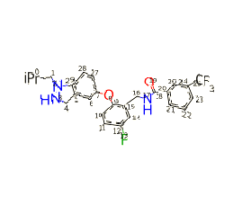 CC(C)CN1NCc2cc(Oc3ccc(F)cc3CNC(=O)c3cccc(C(F)(F)F)c3)ccc21